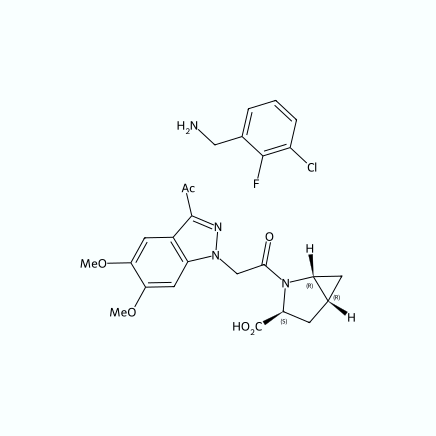 COc1cc2c(C(C)=O)nn(CC(=O)N3[C@@H]4C[C@@H]4C[C@H]3C(=O)O)c2cc1OC.NCc1cccc(Cl)c1F